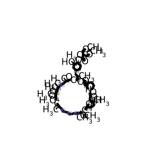 CO[C@H]1C[C@@H]2CC[C@@H](C)[C@@](O)(O2)C(=O)C(=O)N2CCCC[C@H]2C(=O)O[C@H]([C@H](C)C[C@@H]2CC[C@@H](OC(=O)C3(C)COC(C)(C)OC3)[C@H](O)C2)CC(=O)[C@H](C)/C=C(\C)[C@@H](O)[C@@H](OC)C(=O)[C@H](C)C[C@H](C)/C=C/C=C/C=C/1C